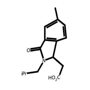 Cc1ccc2c(c1)C(=O)N(CC(C)C)C2CC(=O)O